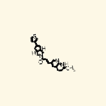 C=C1CCc2cc(/C=C/C(=O)N3C[C@H]4CC(c5ccsc5)=C[C@H]4C3)cnc2N1